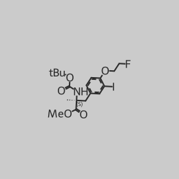 COC(=O)[C@](C)(Cc1ccc(OCCF)c(I)c1)NC(=O)OC(C)(C)C